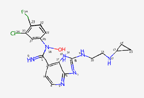 N=C(c1ccnc2nc(NCCNC3CC3)[nH]c12)N(O)c1ccc(F)c(Cl)c1